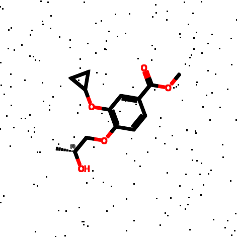 COC(=O)c1ccc(OC[C@@H](C)O)c(OC2CC2)c1